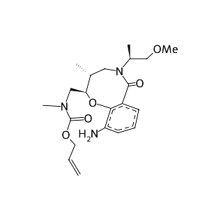 C=CCOC(=O)N(C)C[C@@H]1Oc2c(N)cccc2C(=O)N([C@@H](C)COC)C[C@H]1C